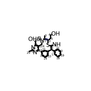 C/C(=C(\CCO)SC(=N)C(c1ccccc1)c1ccccc1)N(C=O)Cc1cnc(C)nc1C